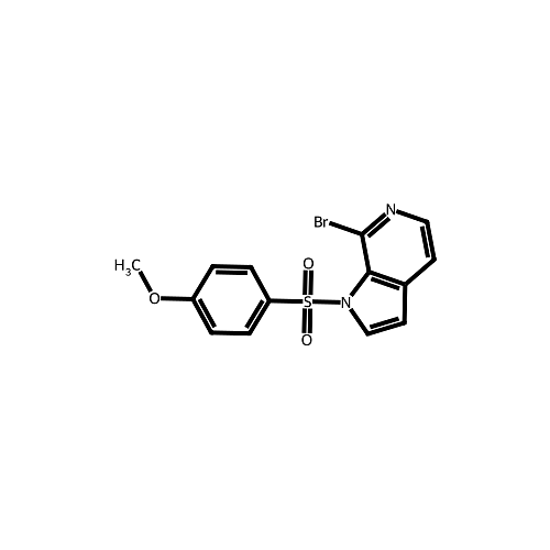 COc1ccc(S(=O)(=O)n2ccc3ccnc(Br)c32)cc1